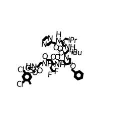 CC[C@@H](C)[C@H](NC(=O)[C@H](CC(C)C)NC(=O)c1cnccn1)C(=O)N1C[C@H](OCc2ccccc2)C[C@H]1C(=O)N[C@@H](CC(F)F)C(=O)C(=O)NCC(=O)NS(=O)(=O)c1cc(C)c(Cl)cc1Cl